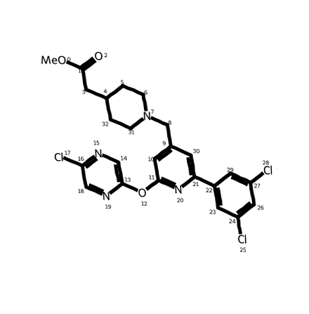 COC(=O)CC1CCN(Cc2cc(Oc3cnc(Cl)cn3)nc(-c3cc(Cl)cc(Cl)c3)c2)CC1